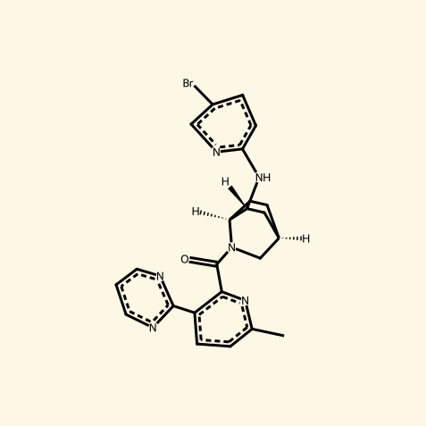 Cc1ccc(-c2ncccn2)c(C(=O)N2C[C@@H]3CC[C@H]2[C@H](Nc2ccc(Br)cn2)C3)n1